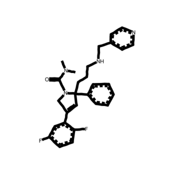 CN(C)C(=O)N1CC(c2cc(F)ccc2F)=CC1(CCCNCc1ccncc1)c1ccccc1